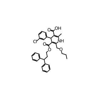 CCCOCC1=C(C(=O)OCCC(c2ccccc2)c2ccccc2)C(c2cccc(Cl)c2)C(C(=O)O)=C(C)N1